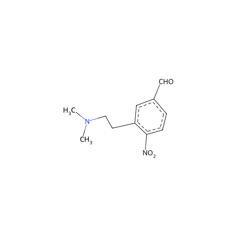 CN(C)CCc1cc(C=O)ccc1[N+](=O)[O-]